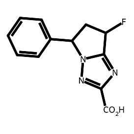 O=C(O)c1nc2n(n1)C(c1ccccc1)CC2F